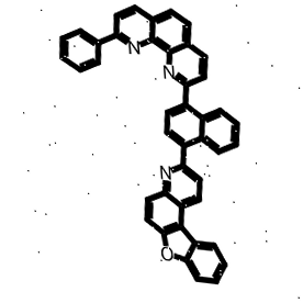 c1ccc(-c2ccc3ccc4ccc(-c5ccc(-c6ccc7c(ccc8oc9ccccc9c87)n6)c6ccccc56)nc4c3n2)cc1